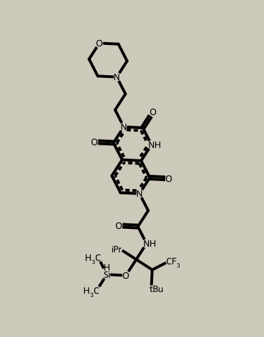 CC(C)C(NC(=O)Cn1ccc2c(=O)n(CCN3CCOCC3)c(=O)[nH]c2c1=O)(O[SiH](C)C)C(C(C)(C)C)C(F)(F)F